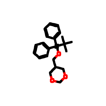 CC(C)(C)[Si](OCC1COCOC1)(c1ccccc1)c1ccccc1